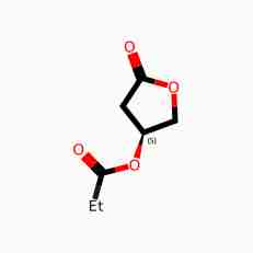 CCC(=O)O[C@@H]1COC(=O)C1